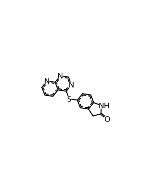 O=C1Cc2cc(Sc3ncnc4ncccc34)ccc2N1